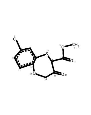 COC(=O)C1Sc2cc(Cl)ccc2OCC1=O